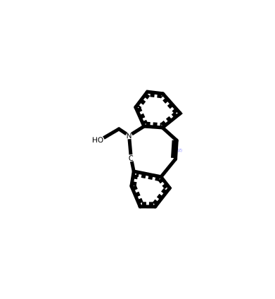 OCN1Cc2ccccc2/C=C\c2ccccc21